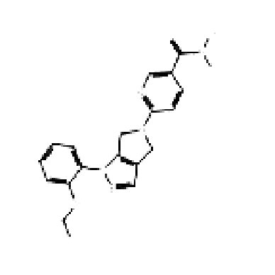 CN(C)C(=O)c1ccc(N2Cc3cnn(-c4ccccc4OCC(F)(F)F)c3C2)nc1